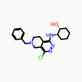 O[C@@H]1CCCC[C@H]1Nc1nnc(Cl)c2c1CCN(Cc1ccccc1)C2